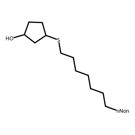 CCCCCCCCCCCCCCCCSC1CCC(O)C1